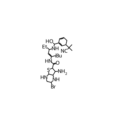 CCC(/C=C(/NC(=O)C1SC2NCC(Br)NC2C1N)C(C)CC)NC(O)C1=CC(C(C)(C)C#N)CC=C1